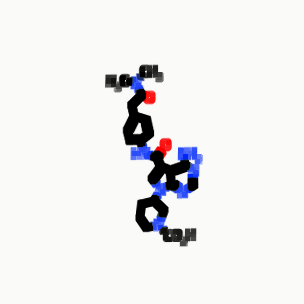 CN(C)C(=O)Cc1ccc(NC(=O)c2cn(C3CCCN(C(=O)O)C3)c3ncnc(N)c23)cc1